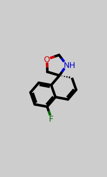 Fc1cccc2c1C=CC[C@@]21COCN1